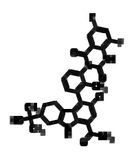 Cc1c(-c2c(Cl)cc(C(N)=O)c3[nH]c4c(c23)CCC(C(C)(C)O)C4)cccc1-n1c(=O)[nH]c2c(F)cc(F)cc2c1=O